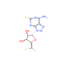 Nc1nc(F)nc2c1nnn2[C@@H]1OC(=C(F)F)[C@@H](O)[C@H]1O